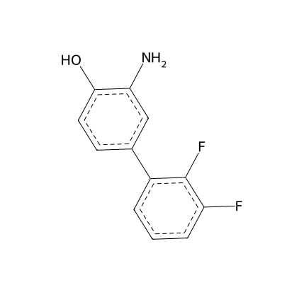 Nc1cc(-c2cccc(F)c2F)ccc1O